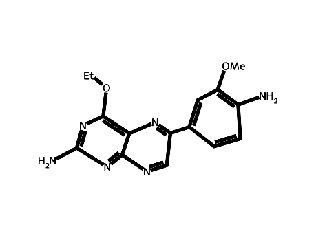 CCOc1nc(N)nc2ncc(-c3ccc(N)c(OC)c3)nc12